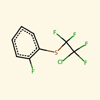 Fc1ccccc1SC(F)(F)C(F)(F)Cl